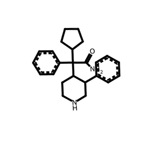 NC(=O)C(c1ccccc1)(C1CCCC1)C1CCNCC1c1ccccc1